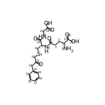 NC(CCC(=O)N[C@@H](CSCC(=O)Cc1ccccc1)C(=O)NCC(=O)O)C(=O)O